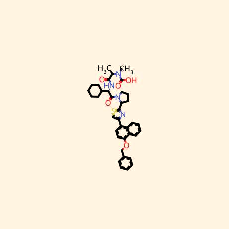 CC(C(=O)N[C@H](C(=O)N1CCCC1c1nc(-c2ccc(OCc3ccccc3)c3ccccc23)cs1)C1CCCCC1)N(C)C(=O)O